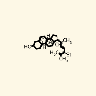 C=C(C)[C@@H](C=C[C@@H](C)[C@H]1CC[C@H]2[C@@H]3CC=C4CC(O)CC[C@]4(C)[C@H]3CC[C@]12C)CC